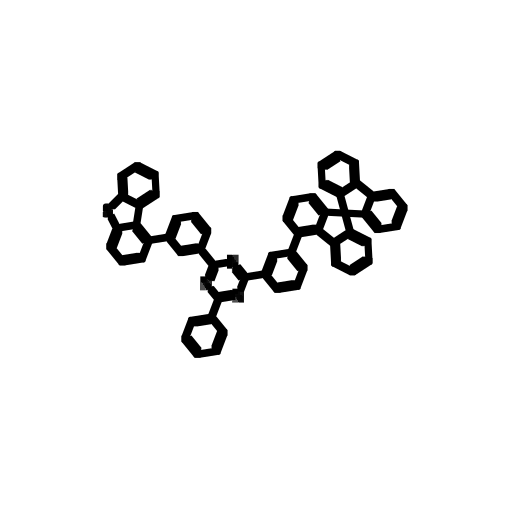 c1ccc(-c2nc(-c3cccc(-c4cccc5c4-c4ccccc4C54c5ccccc5-c5ccccc54)c3)nc(-c3cccc(-c4cccc5sc6ccccc6c45)c3)n2)cc1